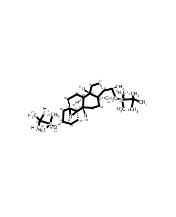 C[C@H](O[Si](C)(C)C(C)(C)C)[C@H]1CC[C@H]2[C@@H]3CC[C@@]45C[C@@H](O[Si](C)(C)C(C)(C)C)CC[C@@]4(O5)[C@H]3CC[C@]12C